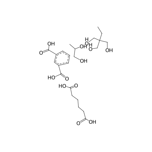 CC(O)CO.CCC(CO)(CO)CO.O=C(O)CCCCC(=O)O.O=C(O)c1cccc(C(=O)O)c1